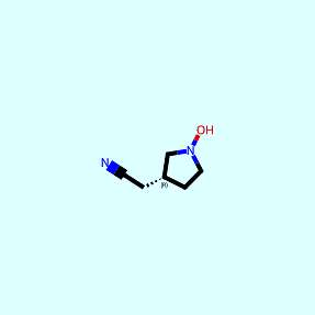 N#CC[C@H]1CCN(O)C1